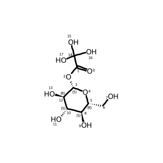 O=C(O[C@@H]1O[C@H](CO)[C@@H](O)[C@H](O)[C@H]1O)C(O)(O)O